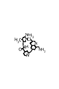 Cc1cc(N)ncc1CNC(=O)c1ccnc(Cc2cc(CN)c3ncc(Cl)cc3c2)c1